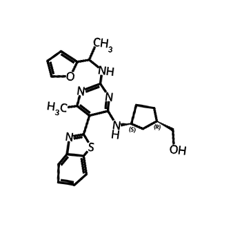 Cc1nc(NC(C)c2ccco2)nc(N[C@H]2CC[C@@H](CO)C2)c1-c1nc2ccccc2s1